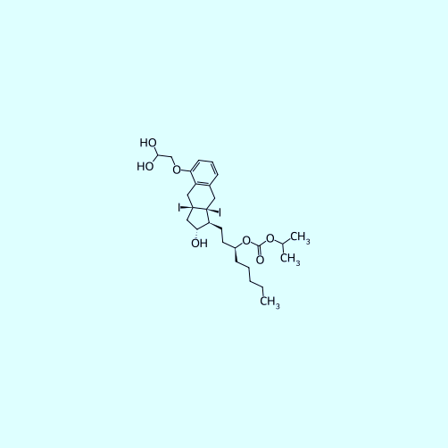 CCCCC[C@@H](CC[C@H]1[C@H](O)C[C@]2(I)Cc3c(cccc3OCC(O)O)C[C@]12I)OC(=O)OC(C)C